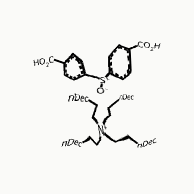 CCCCCCCCCCCC[N+](CCCCCCCCCCCC)(CCCCCCCCCCCC)CCCCCCCCCCCC.O=C(O)c1ccc([S+]([O-])c2ccc(C(=O)O)cc2)cc1